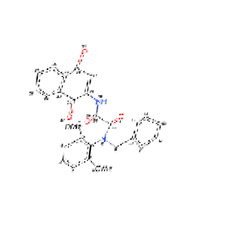 COc1cccc(OC)c1N(Cc1ccccc1)C(=O)C(=O)NC1=CC(=O)c2ccccc2C1=O